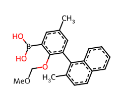 COCOc1c(B(O)O)cc(C)cc1-c1c(C)ccc2ccccc12